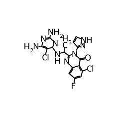 CC(Nc1nc(N)nc(N)c1Cl)c1nc2cc(F)cc(Cl)c2c(=O)n1-c1cc[nH]n1